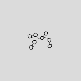 c1ccc2c(c1)oc1ccc(-n3c4ccccc4c4cc(Cc5cccc6c7ccccc7n(-c7ccc8sc9ccccc9c8c7)c56)ccc43)cc12